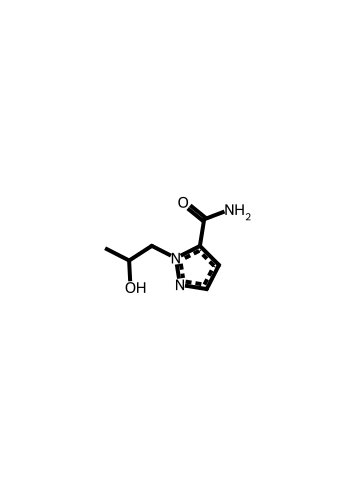 CC(O)Cn1nccc1C(N)=O